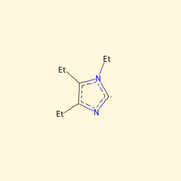 CCc1n[c]n(CC)c1CC